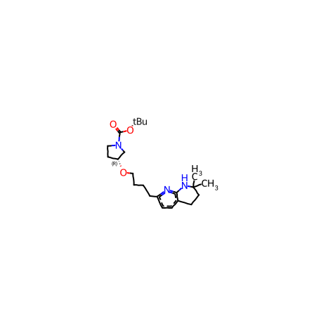 CC1(C)CCc2ccc(CCCCO[C@@H]3CCN(C(=O)OC(C)(C)C)C3)nc2N1